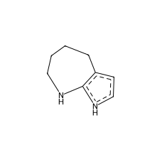 c1cc2c([nH]1)NCCCC2